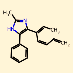 C=C/C=C\C(=C/C)c1nc(C)[nH]c1-c1ccccc1